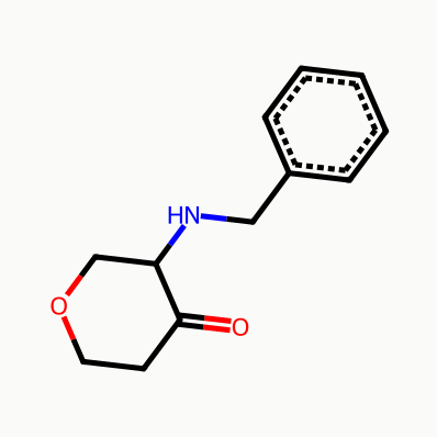 O=C1CCOCC1NCc1ccccc1